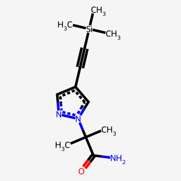 CC(C)(C(N)=O)n1cc(C#C[Si](C)(C)C)cn1